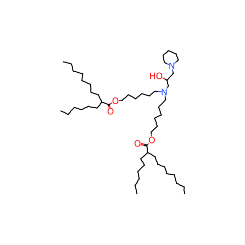 CCCCCCCCC(CCCCCC)C(=O)OCCCCCCN(CCCCCCOC(=O)C(CCCCCC)CCCCCCCC)CC(O)CN1CCCCC1